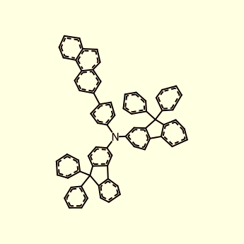 c1ccc(C2(c3ccccc3)c3ccccc3-c3cc(N(c4ccc(-c5ccc6c(ccc7ccccc76)c5)cc4)c4ccc5c(c4)C(c4ccccc4)(c4ccccc4)c4ccccc4-5)ccc32)cc1